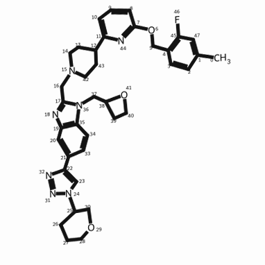 Cc1ccc(COc2cccc(C3CCN(Cc4nc5cc(-c6cn(C7CCCOC7)nn6)ccc5n4CC4CCO4)CC3)n2)c(F)c1